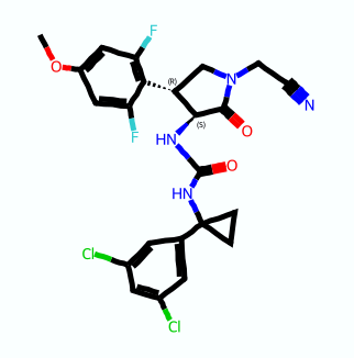 COc1cc(F)c([C@@H]2CN(CC#N)C(=O)[C@H]2NC(=O)NC2(c3cc(Cl)cc(Cl)c3)CC2)c(F)c1